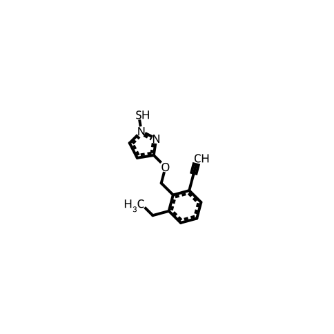 C#Cc1cccc(CC)c1COc1ccn(S)n1